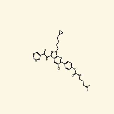 CN(C)CCCNC(=O)Oc1ccc(-c2nc3c(cc2Cl)c(NC(=O)c2cccnc2)nn3CCCCC2CC2)cc1